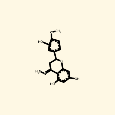 COc1ccc(C2C/C(=N\N)c3c(O)cc(O)cc3O2)cc1O